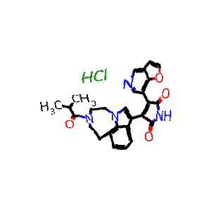 CC(C)C(=O)N1CCc2cccc3c(C4=C(c5cncc6ccoc56)C(=O)NC4=O)cn(c23)CC1.Cl